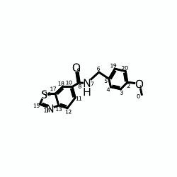 COc1ccc(CNC(=O)c2ccc3ncsc3c2)cc1